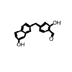 O=Cc1ccc(Cc2ccc3ccc(O)cc3c2)cc1O